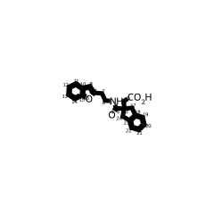 O=C(O)CC1(C(=O)NCCc2cc3ccccc3o2)Cc2ccccc2C1